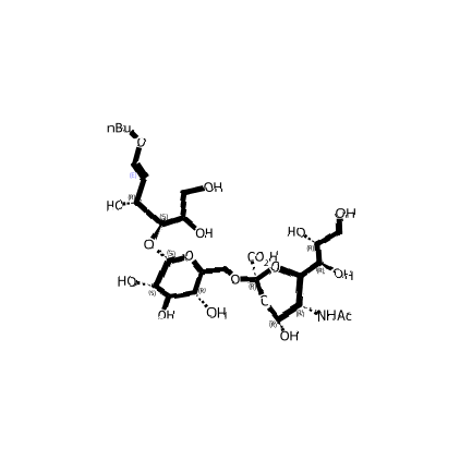 CCCCO/C=C/[C@@H](O)[C@H](O[C@@H]1OC(CO[C@]2(C(=O)O)C[C@@H](O)[C@@H](NC(C)=O)C([C@H](O)[C@H](O)CO)O2)[C@H](O)C(O)[C@@H]1O)C(O)CO